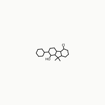 CC1(C)C2CCCC(Cl)C2C2CCC(C3CCCCC3)C(O)C21